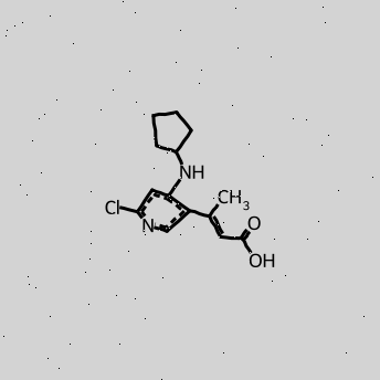 C/C(=C\C(=O)O)c1cnc(Cl)cc1NC1CCCC1